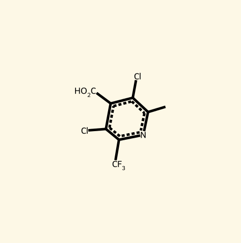 Cc1nc(C(F)(F)F)c(Cl)c(C(=O)O)c1Cl